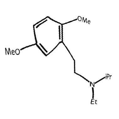 CCN(CCc1cc(OC)ccc1OC)C(C)C